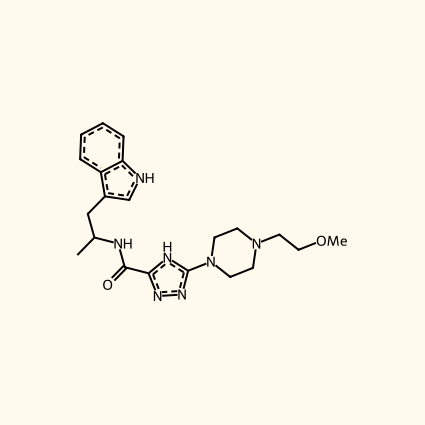 COCCN1CCN(c2nnc(C(=O)NC(C)Cc3c[nH]c4ccccc34)[nH]2)CC1